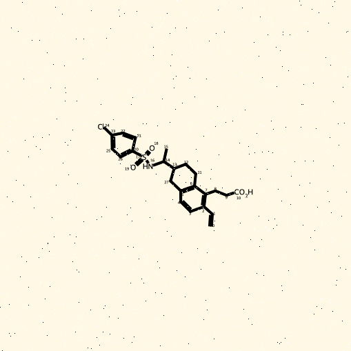 C=Cc1ccc2c(c1CCC(=O)O)CCC(C(C)NS(=O)(=O)c1ccc(Cl)cc1)C2